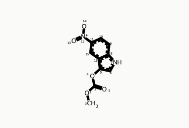 COC(=O)Oc1c[nH]c2ccc([N+](=O)[O-])cc12